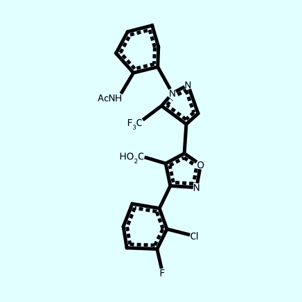 CC(=O)Nc1ccccc1-n1ncc(-c2onc(-c3cccc(F)c3Cl)c2C(=O)O)c1C(F)(F)F